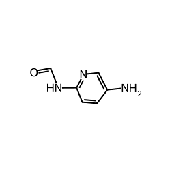 Nc1ccc(NC=O)nc1